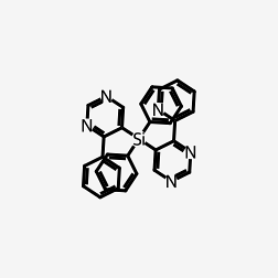 c1ccc(-c2ncncc2[Si](c2ccccc2)(c2ccccc2)c2cncnc2-c2ccccn2)cc1